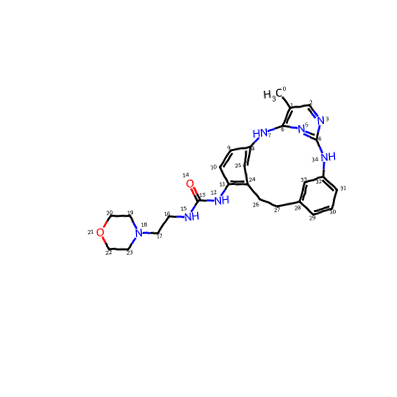 Cc1cnc2nc1Nc1ccc(NC(=O)NCCN3CCOCC3)c(c1)CCc1cccc(c1)N2